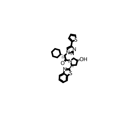 O=C([C@H](C1CCCCC1)n1cc(-c2cccs2)nn1)N1C[C@H](O)C[C@H]1c1nc2ccccc2s1